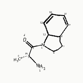 C[C@@H](N)C(=O)N1CCC2C=CC=CC21